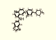 CN1CCC(c2ccc(-c3ccc4nccc(Nc5ccc6scnc6c5)c4c3)c(F)c2)CC1